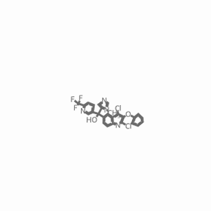 Cn1cncc1C(O)(c1ccc(C(F)(F)F)nc1)c1ccc2nc(Cl)c(Oc3ccccc3)c(Cl)c2c1